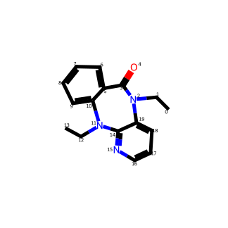 CCN1C(=O)c2ccccc2N(CC)c2ncccc21